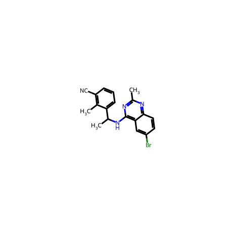 Cc1nc(NC(C)c2cccc(C#N)c2C)c2cc(Br)ccc2n1